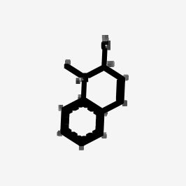 CN1c2ccccc2C=CC1Cl